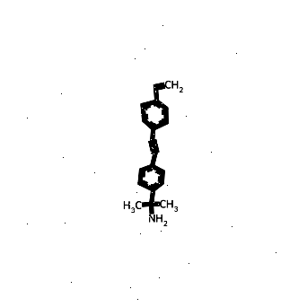 C=Cc1ccc(C#Cc2ccc(C(C)(C)N)cc2)cc1